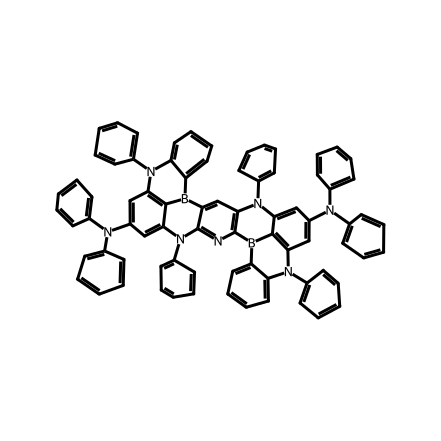 c1ccc(N(c2ccccc2)c2cc3c4c(c2)N(c2ccccc2)c2cc5c(nc2B4c2ccccc2N3c2ccccc2)N(c2ccccc2)c2cc(N(c3ccccc3)c3ccccc3)cc3c2B5c2ccccc2N3c2ccccc2)cc1